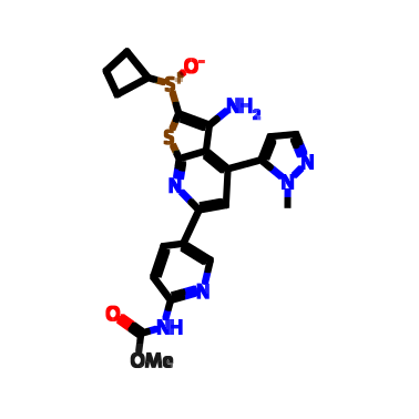 COC(=O)Nc1ccc(-c2cc(-c3ccnn3C)c3c(N)c([S+]([O-])C4CCC4)sc3n2)cn1